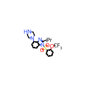 CC(C)c1nc2c(N3CCNCC3)cccc2n1S(=O)(=O)c1ccccc1OC(F)(F)F